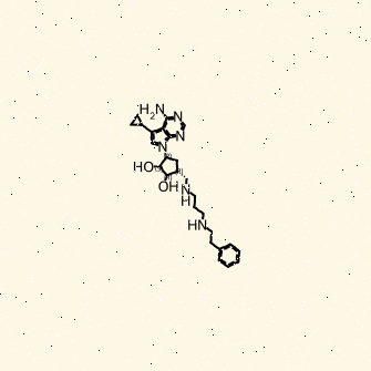 Nc1ncnc2c1c(C1CC1)cn2[C@@H]1C[C@H](CNCCCNCCc2ccccc2)[C@@H](O)[C@H]1O